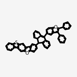 C1=CC2=C(c3ccc4oc(-c5ccccc5)c(-c5ccccc5)c4c3)c3ccccc3C(c3ccc4oc5cc6c(cc5c4c3)sc3ccccc36)C2C=C1